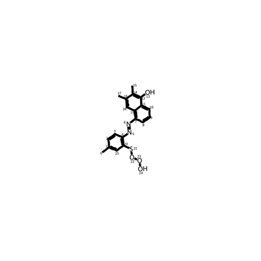 Cc1ccc(N=Nc2cccc3c(O)c(C)c(C)cc23)c(SOOO)c1